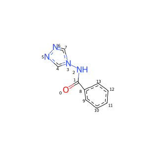 O=C(Nn1cnnc1)c1ccccc1